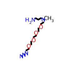 CN(CCCN)CCOCCOCCOCCOCCN=[N+]=[N-]